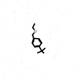 CCO[CH]c1ccc(C(C)(C)C)cc1